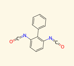 O=C=Nc1cccc(N=C=O)c1-c1ccccc1